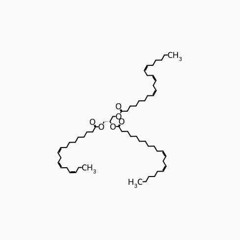 CC/C=C\C/C=C\C/C=C\CCCCCCCC(=O)OC[C@H](COC(=O)CCCCCC/C=C\C/C=C\C/C=C\CCCCC)OC(=O)CCCCCCCCC/C=C\C/C=C\CCCCC